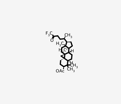 CC(=O)O[C@H]1CC[C@]23C[C@]24CC[C@]2(C)[C@@H]([C@H](C)CCC(=O)C(F)(F)F)CC[C@@]2(C)[C@@H]4CC[C@H]3C1(C)C